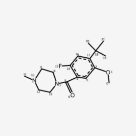 COc1cc(C(=O)N2CCN(C)CC2)c(F)cc1C(C)(C)C